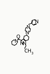 CCCn1nc(C(=O)N2CCCCC2)c2c1CCC(N1CCN(Cc3ccncc3)CC1)C2